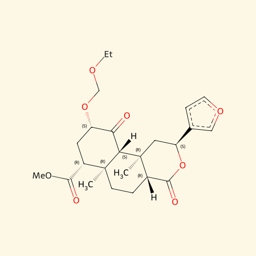 CCOCO[C@H]1C[C@@H](C(=O)OC)[C@]2(C)CC[C@H]3C(=O)O[C@H](c4ccoc4)C[C@]3(C)[C@H]2C1=O